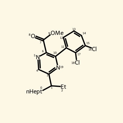 CCCCCCCC(CC)c1cnc(C(=O)OC)c(-c2cccc(Cl)c2Cl)n1